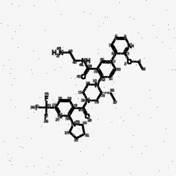 CCOc1ncccc1-c1ccc(N2CCN(C(=O)c3ccc(C(F)(F)F)nc3N3CCCC3)C[C@H]2CC)c(C(=O)NCCN)c1